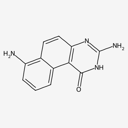 Nc1nc2ccc3c(N)cccc3c2c(=O)[nH]1